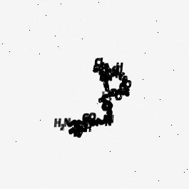 C=CC(C)C(CC)(CC)N[C@@H](CCCCN)C(=O)NC(=O)CCCc1cn(Cc2ccc(C(C)[C@H](C)[C@@H](C)[C@@H]3C/C=C/C(=O)N[C@H](Cc4ccc(OC)c(Cl)c4)C(=O)NCC(C)(C)C(=O)O[C@@H](CC(C)C)C(=O)O3)cc2)nn1